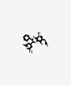 Cc1cc(-c2nc3c(=O)c(CC#N)c[nH]c3nc2-c2ccccc2)cc(Cl)n1